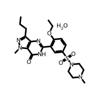 CCCc1nn(C)c2c(=O)[nH]c(-c3cc(S(=O)(=O)N4CCN(C)CC4)ccc3OCC)nc12.O